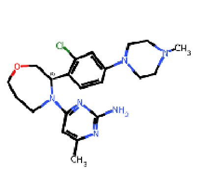 Cc1cc(N2CCCOC[C@H]2c2ccc(N3CCN(C)CC3)cc2Cl)nc(N)n1